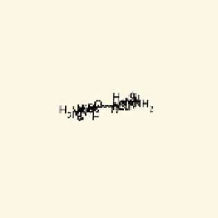 CCCCc1nc2c(N)nc3ccccc3c2n1Cc1ccc(CNC(=O)CCCCCCC(=O)NCc2ccc(Cn3c(CCCC)nc4c(N)nc5ccccc5c43)cc2)cc1